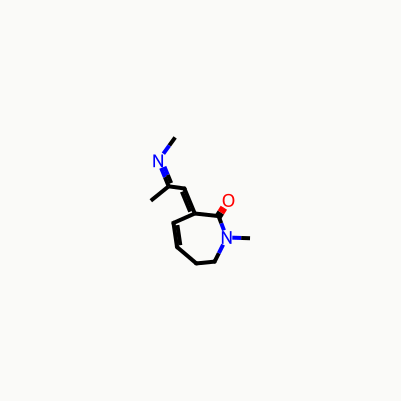 C/N=C(C)\C=C1/C=CCCN(C)C1=O